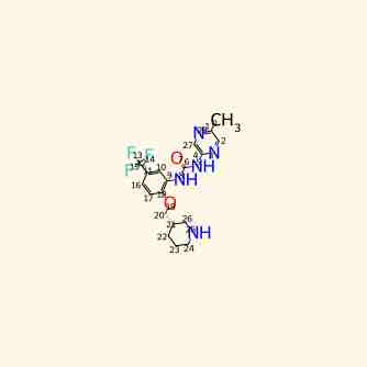 Cc1cnc(NC(=O)Nc2cc(C(F)(F)F)ccc2OC[C@H]2CCCNC2)cn1